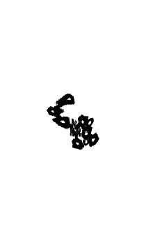 c1ccc(-c2cccc(-c3cccc(-c4nc(-c5ccccc5)nc(-c5cccc6oc7cc8c(cc7c56)oc5ccccc58)n4)c3)c2)cc1